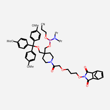 COc1ccc(C(OCC2(COP(OCCC#N)N(C(C)C)C(C)C)CCN(C(=O)COCCCON3C(=O)C4C5C=CC(C5)C4C3=O)CC2)(c2ccc(OC)cc2)c2ccc(OC)cc2)cc1